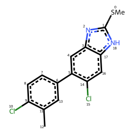 [CH2]Sc1nc2cc(-c3ccc(Cl)c(C)c3)c(Cl)cc2[nH]1